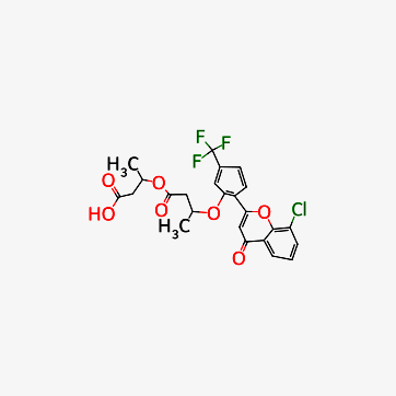 CC(CC(=O)O)OC(=O)CC(C)Oc1cc(C(F)(F)F)ccc1-c1cc(=O)c2cccc(Cl)c2o1